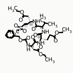 CCOC(=O)CC[C@H](NC(=O)[C@H](CC(=O)OCC)NC(=O)OCc1ccccc1)C(=O)N[C@H](C(=O)N[C@H](/C=C/S(C)(=O)=O)CC(=O)OCC)C(C)C